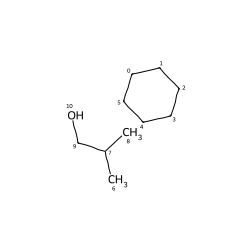 C1CCCCC1.CC(C)CO